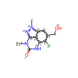 CCN1C(=O)Nc2c(F)c(CO)cc3c2c1nn3C